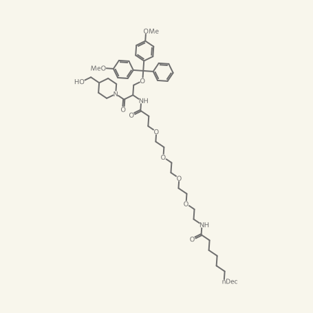 CCCCCCCCCCCCCCCC(=O)NCCOCCOCCOCCOCCC(=O)NC(COC(c1ccccc1)(c1ccc(OC)cc1)c1ccc(OC)cc1)C(=O)N1CCC(CO)CC1